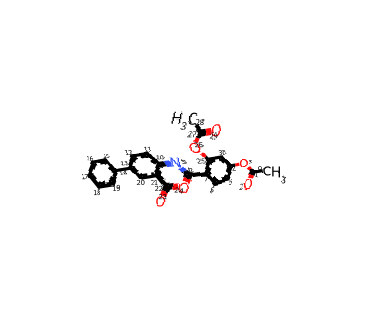 CC(=O)Oc1ccc(-c2nc3ccc(-c4ccccc4)cc3c(=O)o2)c(OC(C)=O)c1